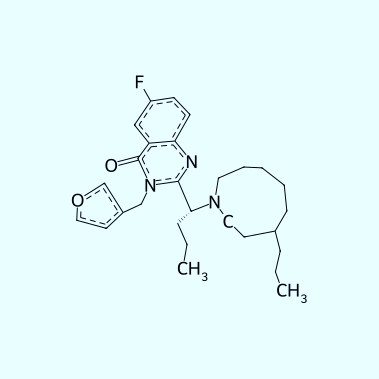 CCCC1CCCCCN([C@H](CCC)c2nc3ccc(F)cc3c(=O)n2Cc2ccoc2)CC1